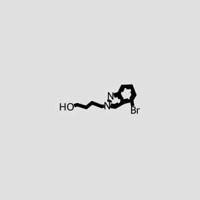 OCCCCn1cc2c(Br)cccc2n1